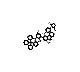 Cc1cc(-c2ccc3c(c2Nc2ccc(N4C(=O)CCC4=O)cc2)C2=C(C=CCC2)C3(C)C)c2c(c1)N1c3ccccc3C(c3ccccc3)(c3ccccc3)c3cccc(c31)B2